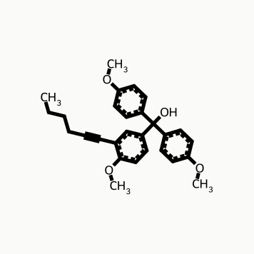 CCCCC#Cc1cc(C(O)(c2ccc(OC)cc2)c2ccc(OC)cc2)ccc1OC